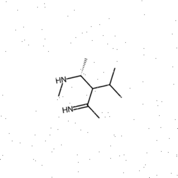 CN[C@H](C)C(C(C)=N)C(C)C